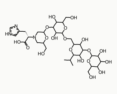 CC(C)C1OC(COC2OC(CO)C(O)C(OC3CN([C@@H](Cc4c[nH]cn4)C(=O)O)CC(CO)O3)C2O)C(O)C(OC2OC(CO)C(O)C(O)C2O)C1O